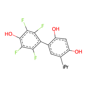 CC(C)c1cc(-c2c(F)c(F)c(O)c(F)c2F)c(O)cc1O